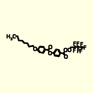 CCCCCCCCOc1ccc(C(=O)Oc2ccc(C(=O)OOCC(F)(F)C(F)(F)C(F)(F)F)cc2)cc1